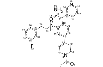 CC(=O)N1CC=C(c2ccc(C(C(N)=O)c3cccnc3)c(NCCc3cccc(F)c3)n2)CC1